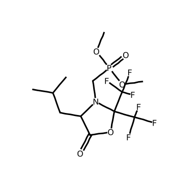 COP(=O)(CN1C(CC(C)C)C(=O)OC1(C(F)(F)F)C(F)(F)F)OC